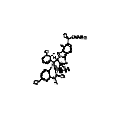 COC(=O)c1ccc2c3n(nc2c1C)[C@@H]1[C@H](C3)N[C@]2(Cc3ccc(Cl)cc3NC2=O)[C@H]1c1cccc(Cl)c1F